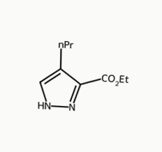 CCCc1c[nH]nc1C(=O)OCC